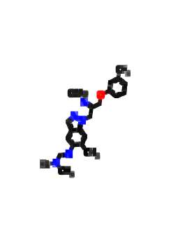 CCN(C)C=Nc1cc2cnn(CC(COc3cccc(C(F)(F)F)c3)=NOC)c2cc1C